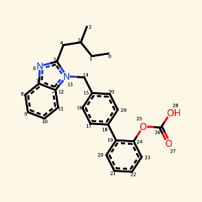 CCC(C)Cc1nc2ccccc2n1Cc1ccc(-c2ccccc2OC(=O)O)cc1